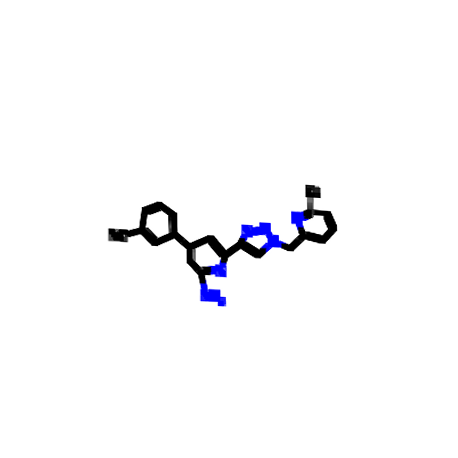 CCc1cccc(Cn2cc(-c3cc(-c4cccc(C#N)c4)cc(N)n3)nn2)n1